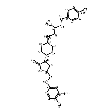 O=C1OC(COc2ccc(Cl)c(F)c2)CN1[C@H]1CC[C@H](NCC(O)COc2ccc(Cl)cc2)CC1